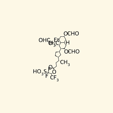 CCC(C[C@H]1[C@H]([C@@H]2CC[C@H]([C@H](C)CCC(=O)OC(C(F)(F)F)C(F)(F)S(=O)(=O)O)C2)C(OC=O)C[C@@H]2CC(OC=O)CC[C@@]21C)OC=O